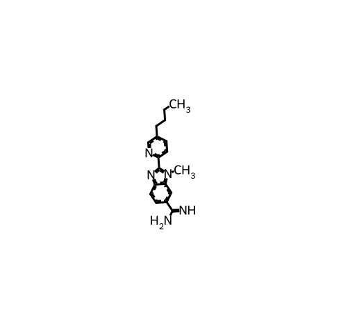 CCCCc1ccc(-c2nc3ccc(C(=N)N)cc3n2C)nc1